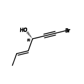 CC=C[C@H](O)C#CBr